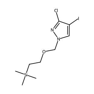 C[Si](C)(C)CCOCn1cc(I)c(Cl)n1